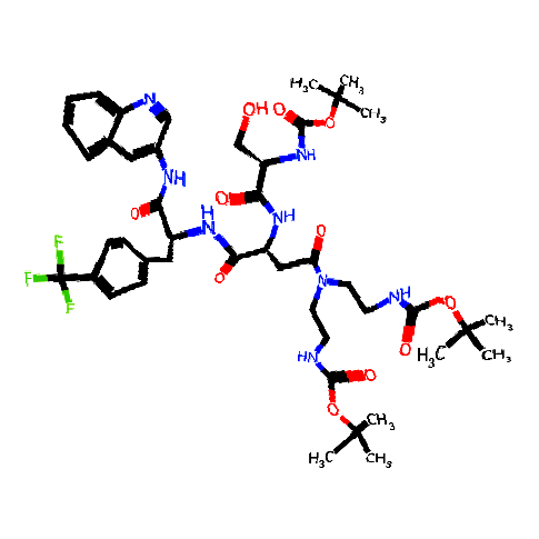 CC(C)(C)OC(=O)NCCN(CCNC(=O)OC(C)(C)C)C(=O)C[C@H](NC(=O)[C@@H](CO)NC(=O)OC(C)(C)C)C(=O)N[C@@H](Cc1ccc(C(F)(F)F)cc1)C(=O)Nc1cnc2ccccc2c1